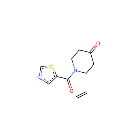 C=C.O=C1CCN(C(=O)c2cncs2)CC1